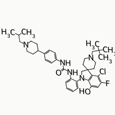 CC(C)CN1CCC(c2ccc(NC(=O)Nc3ccccc3N3CC4(CCN(CC(C)(C)C)CC4)c4c(Cl)c(F)cc(O)c43)cc2)CC1